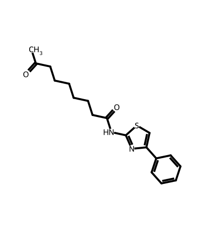 CC(=O)CCCCCCC(=O)Nc1nc(-c2ccccc2)cs1